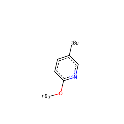 CCCCOc1ccc(C(C)(C)C)cn1